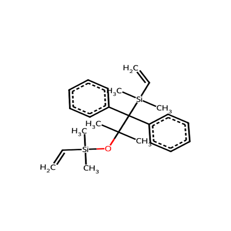 C=C[Si](C)(C)OC(C)(C)C(c1ccccc1)(c1ccccc1)[Si](C)(C)C=C